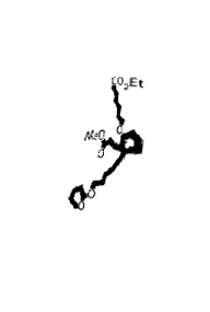 CCOC(=O)CCCCCCOc1cccc(CCCCCCOC2CCCCO2)c1CCC(=O)OC